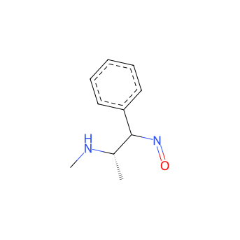 CN[C@@H](C)C(N=O)c1ccccc1